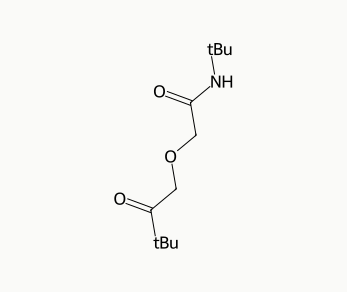 CC(C)(C)NC(=O)COCC(=O)C(C)(C)C